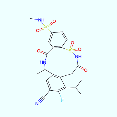 CNS(=O)(=O)c1ccc2c(c1)C(=O)NC(C)c1cc(C#N)c(F)c(C(C)C)c1CC(=O)NS2(=O)=O